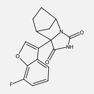 O=C1NC(=O)C2(c3coc4c(F)cccc34)C3CCC(C3)N12